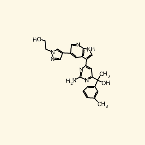 Cc1cccc(C(C)(O)c2cc(-c3c[nH]c4ncc(-c5cnn(CCO)c5)cc34)nc(N)n2)c1